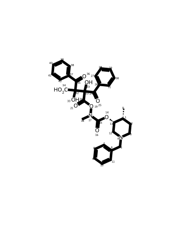 C[C@@H]1CCN(Cc2ccccc2)C[C@@H]1OC(=O)N(C)OC(=O)C(O)(C(=O)c1ccccc1)C(O)(C(=O)O)C(=O)c1ccccc1